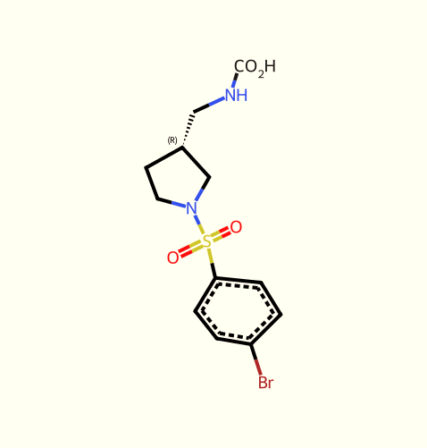 O=C(O)NC[C@H]1CCN(S(=O)(=O)c2ccc(Br)cc2)C1